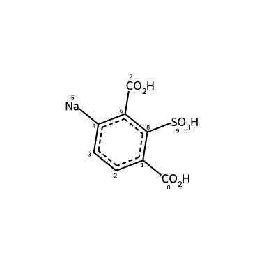 O=C(O)c1cc[c]([Na])c(C(=O)O)c1S(=O)(=O)O